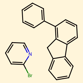 Brc1ccccn1.c1ccc(-c2cccc3c2Cc2ccccc2-3)cc1